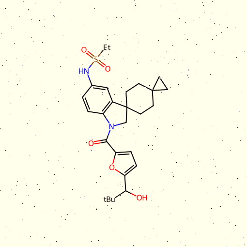 CCS(=O)(=O)Nc1ccc2c(c1)C1(CCC3(CC3)CC1)CN2C(=O)c1ccc(C(O)C(C)(C)C)o1